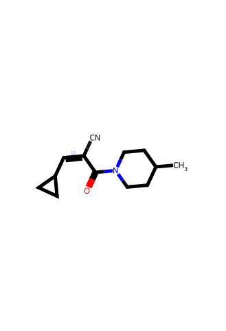 CC1CCN(C(=O)/C(C#N)=C\C2CC2)CC1